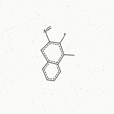 C=Nc1cc2ccccc2c(C)c1F